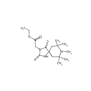 CCOC(=O)CN1C(=O)NC2(CC(C)(C)N(C)C(C)(C)C2)C1=O